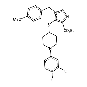 CCOC(=O)c1nnn(Cc2ccc(OC)cc2)c1SC1CCN(c2ccc(Cl)c(Cl)c2)CC1